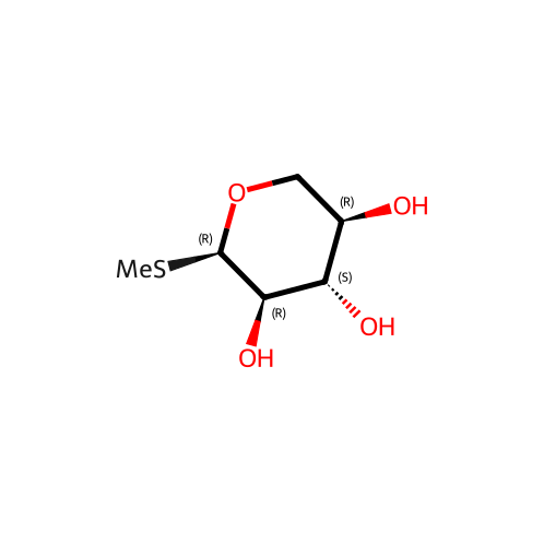 CS[C@H]1OC[C@@H](O)[C@H](O)[C@H]1O